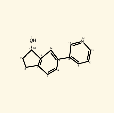 O[C@H]1CCc2ccc(-c3cccnc3)cc21